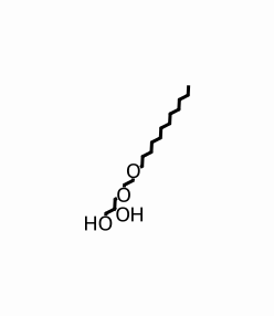 CCCCCCCCCCCCOCCOCC(O)CO